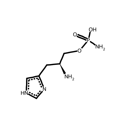 N[C@H](COP(N)(=O)O)Cc1c[nH]cn1